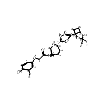 O=C(COc1ccc(Cl)c(F)c1)N[C@@H]1CC[C@@H](c2nnc(C3(OC(F)(F)F)CCC3)o2)OC1